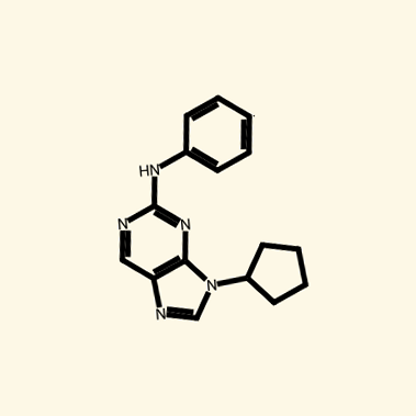 [c]1ccc(Nc2ncc3ncn(C4CCCC4)c3n2)cc1